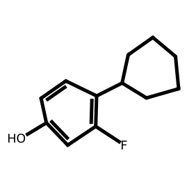 Oc1ccc(C2CCCCC2)c(F)c1